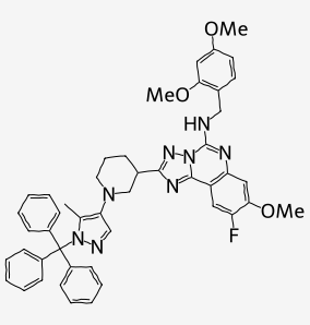 COc1ccc(CNc2nc3cc(OC)c(F)cc3c3nc(C4CCCN(c5cnn(C(c6ccccc6)(c6ccccc6)c6ccccc6)c5C)C4)nn23)c(OC)c1